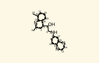 Cc1cc(C(O)CNc2ccc3nccnc3c2)c2cccc(C)c2n1